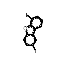 Ic1ccc2oc3c(I)cccc3c2c1